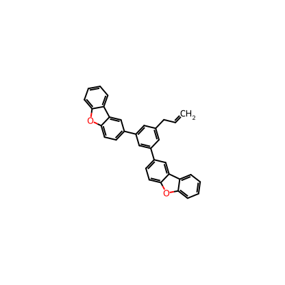 C=CCc1cc(-c2ccc3oc4ccccc4c3c2)cc(-c2ccc3oc4ccccc4c3c2)c1